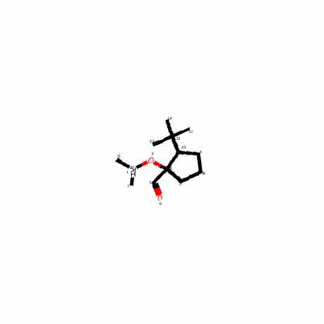 C[SiH](C)OC1(C=O)CCCC1C(C)(C)C